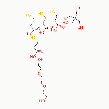 O=C(O)CCS.O=C(O)CCS.O=C(O)CCS.O=C(O)CCS.OCC(CO)(CO)CO.OCCOCCOCCO